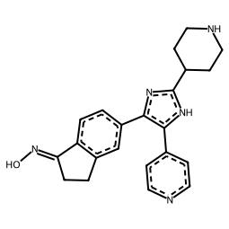 O/N=C1\CCc2cc(-c3nc(C4CCNCC4)[nH]c3-c3ccncc3)ccc21